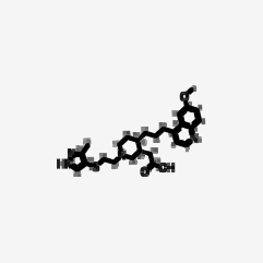 COc1ccc2nccc(CCC[C@@H]3CCN(CCSc4c[nH]nc4C)C[C@@H]3CC(=O)O)c2c1